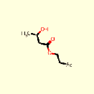 CC(=O)CCOC(=O)C[C@@H](C)O